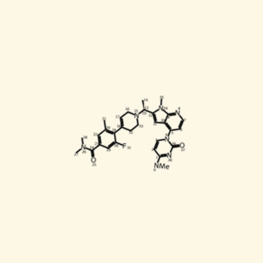 CNc1ccn(-c2ccnc3c2cc([C@H](C)N2CC=C(c4c(C)cc(C(=O)N(C)C)cc4F)CC2)n3C)c(=O)n1